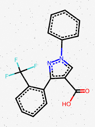 O=C(O)c1cn(-c2ccccc2)nc1-c1ccccc1C(F)(F)F